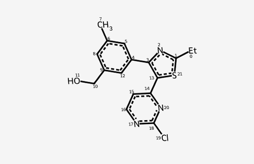 CCc1nc(-c2cc(C)cc(CO)c2)c(-c2ccnc(Cl)n2)s1